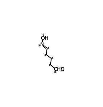 O=CCCCC=NO